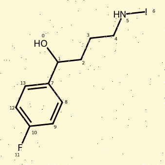 OC(CCCNI)c1ccc(F)cc1